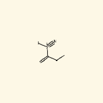 C=C(CC)[SH](#N)I